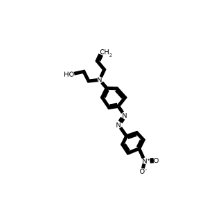 C=CCN(CCO)c1ccc(N=Nc2ccc([N+](=O)[O-])cc2)cc1